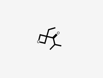 CCC1(C(=O)C(C)C)COC1